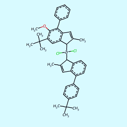 COc1c(C(C)(C)C)cc2c(c1-c1ccccc1)C=C(C)[CH]2[Zr]([Cl])([Cl])[CH]1C(C)=Cc2c(-c3ccc(C(C)(C)C)cc3)cccc21